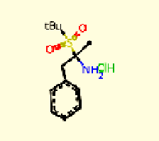 CC(C)(C)S(=O)(=O)[C@](C)(N)Cc1ccccc1.Cl